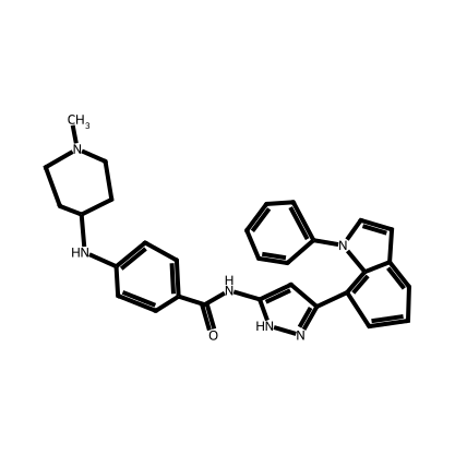 CN1CCC(Nc2ccc(C(=O)Nc3cc(-c4cccc5ccn(-c6ccccc6)c45)n[nH]3)cc2)CC1